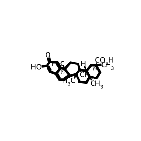 C[C@@]1(C(=O)O)CC[C@]2(C)CC[C@]3(C)C4=CC=C5C=C(O)C(=O)C=C5[C@]4(C)CC[C@@]3(C)[C@@H]2C1